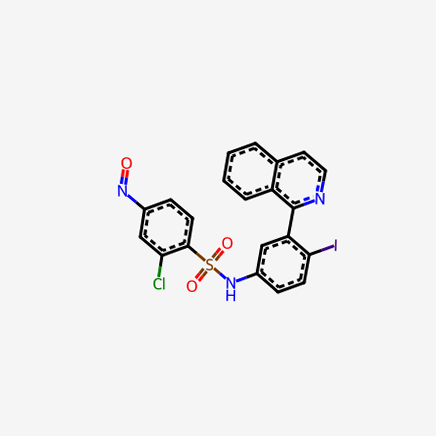 O=Nc1ccc(S(=O)(=O)Nc2ccc(I)c(-c3nccc4ccccc34)c2)c(Cl)c1